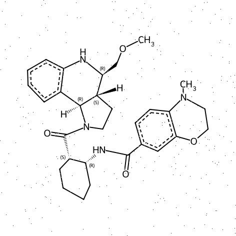 COC[C@@H]1Nc2ccccc2[C@H]2[C@H]1CCN2C(=O)[C@H]1CCCC[C@H]1NC(=O)c1ccc2c(c1)OCCN2C